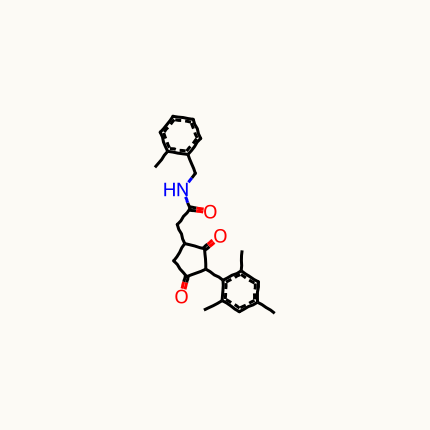 Cc1cc(C)c(C2C(=O)CC(CC(=O)NCc3ccccc3C)C2=O)c(C)c1